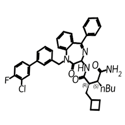 CCCC[C@H](C(N)=O)[C@@H](CC1CCC1)C(=O)NC1N=C(c2ccccc2)c2ccccc2N(Cc2cccc(-c3ccc(F)c(Cl)c3)c2)C1=O